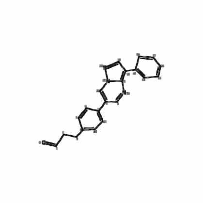 O=CCCc1ccc(-c2cnc3c(-c4ccccc4)cnn3c2)cc1